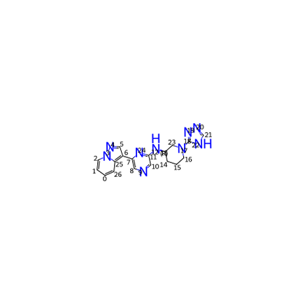 c1ccn2ncc(-c3cncc(N[C@@H]4CCCN(c5nnc[nH]5)C4)n3)c2c1